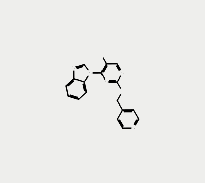 N#Cc1cnc(OCc2ccncc2)nc1-n1cnc2ccccc21